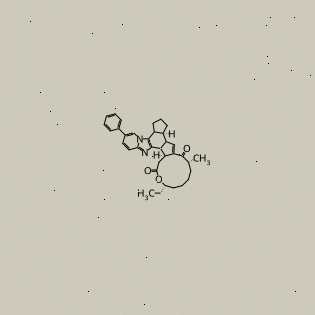 CC[C@H]1CCCC[C@@H](C)C(=O)C2=CC3C(c4nc5ccc(-c6ccccc6)cn5c4C4CCC[C@H]43)[C@@H]2CC(=O)O1